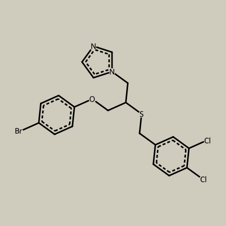 Clc1ccc(CSC(COc2ccc(Br)cc2)Cn2ccnc2)cc1Cl